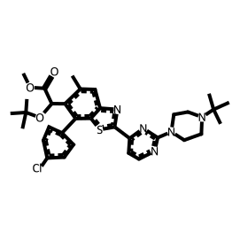 COC(=O)C(OC(C)(C)C)c1c(C)cc2nc(-c3ccnc(N4CCN(C(C)(C)C)CC4)n3)sc2c1-c1ccc(Cl)cc1